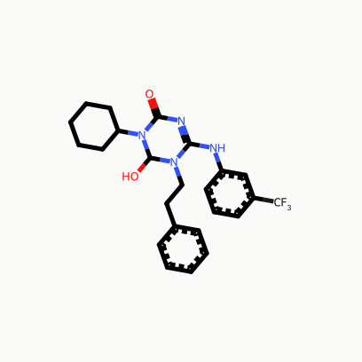 O=C1N=C(Nc2cccc(C(F)(F)F)c2)N(CCc2ccccc2)C(O)N1C1CCCCC1